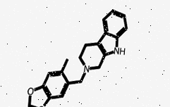 Cc1cc2c(cc1CN1CCc3c([nH]c4ccccc34)C1)OCO2